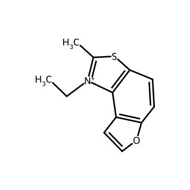 CC[n+]1c(C)sc2ccc3occc3c21